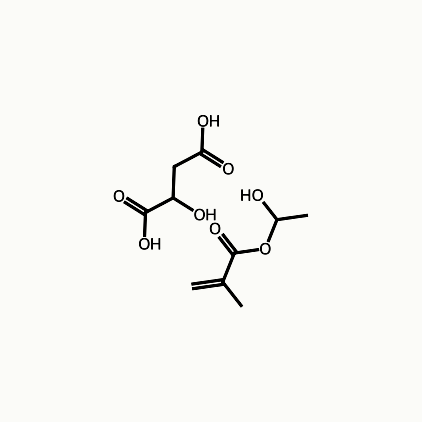 C=C(C)C(=O)OC(C)O.O=C(O)CC(O)C(=O)O